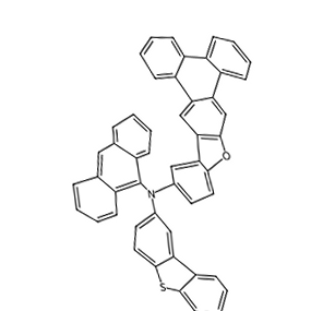 c1ccc2c(N(c3ccc4oc5cc6c7ccccc7c7ccccc7c6cc5c4c3)c3ccc4sc5ccccc5c4c3)c3ccccc3cc2c1